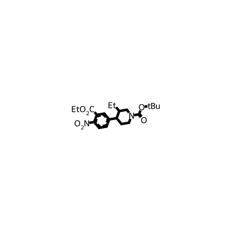 CCOC(=O)c1cc(C2CCN(C(=O)OC(C)(C)C)CC2CC)ccc1[N+](=O)[O-]